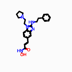 O=C(C=Cc1ccc2c(c1)nc(NCCc1ccccc1)n2CCN1CCCC1)NO